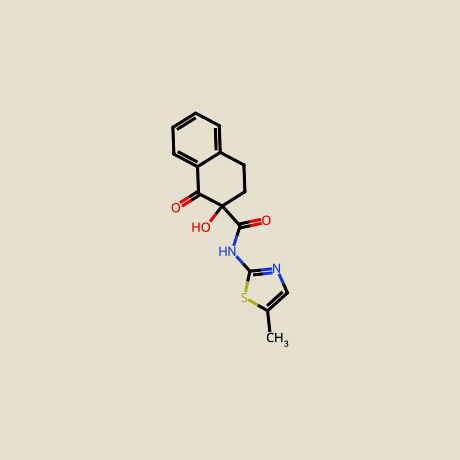 Cc1cnc(NC(=O)C2(O)CCc3ccccc3C2=O)s1